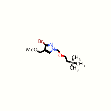 COCc1cn(COCC[Si](C)(C)C)nc1Br